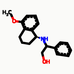 COc1cccc2c1CCC[C@H]2NC(CO)c1ccccc1